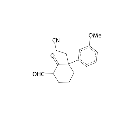 COc1cccc(C2(CCC#N)CCCC(C=O)C2=O)c1